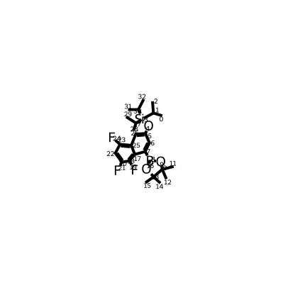 CC(C)[Si](Oc1cc(B2OC(C)(C)C(C)(C)O2)c2c(F)c(F)cc(F)c2c1)(C(C)C)C(C)C